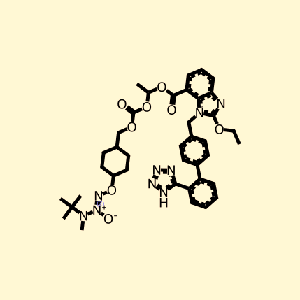 CCOc1nc2cccc(C(=O)OC(C)OC(=O)OCC3CCC(O/N=[N+](\[O-])N(C)C(C)(C)C)CC3)c2n1Cc1ccc(-c2ccccc2-c2nnn[nH]2)cc1